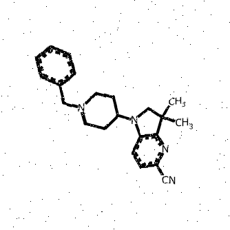 CC1(C)CN(C2CCN(Cc3ccccc3)CC2)c2ccc(C#N)nc21